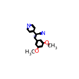 COc1cc(/C=C(\C#N)c2ccncc2)cc(OC)c1